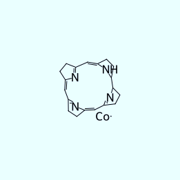 C1=C2CCC(=N2)C=C2CCC(N2)C2CCC(=N2)C=C2CCC1=N2.[Co]